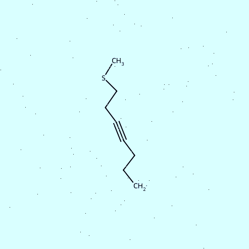 [CH2]CCC#CCCSC